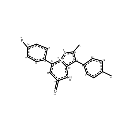 Cc1ccc(-c2c(C)nn3c(-c4ccc(F)cc4)cc(=O)[nH]c23)cc1